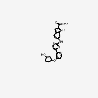 CNC(=O)c1cc2ccc(Nc3nccc(-c4cc(OC5CCC(O)C5)ccn4)n3)cc2[nH]1